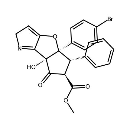 COC(=O)[C@H]1C(=O)[C@@]2(O)C3=NCC=C3O[C@@]2(c2ccc(Br)cc2)[C@@H]1c1ccccc1